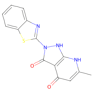 Cc1cc(=O)c2c(=O)n(-c3nc4ccccc4s3)[nH]c2[nH]1